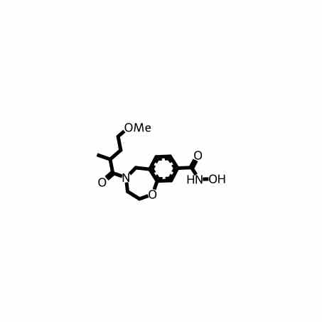 COCCC(C)C(=O)N1CCOc2cc(C(=O)NO)ccc2C1